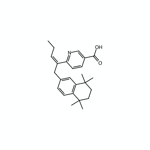 CC/C=C(/Cc1ccc2c(c1)C(C)(C)CCC2(C)C)c1ccc(C(=O)O)cn1